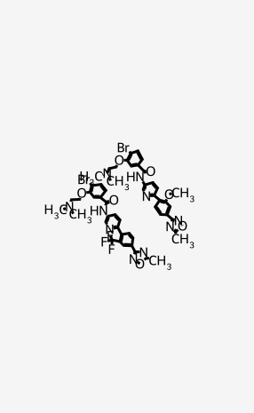 COc1cc(-c2noc(C)n2)ccc1-c1ccc(NC(=O)c2ccc(Br)c(OCCN(C)C)c2)cn1.Cc1nc(-c2ccc(-c3ccc(NC(=O)c4ccc(Br)c(OCCN(C)C)c4)cn3)c(C(F)(F)F)c2)no1